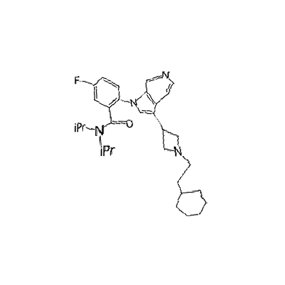 CC(C)N(C(=O)c1cc(F)ccc1-n1cc(C2CN(CCC3CCCCC3)C2)c2ccncc21)C(C)C